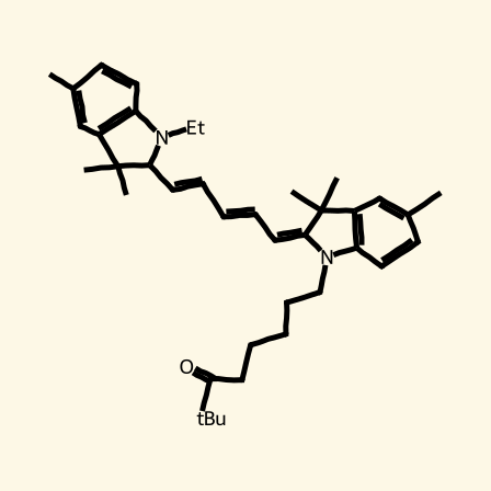 CCN1c2ccc(C)cc2C(C)(C)C1/C=C/C=C/C=C1/N(CCCCCC(=O)C(C)(C)C)c2ccc(C)cc2C1(C)C